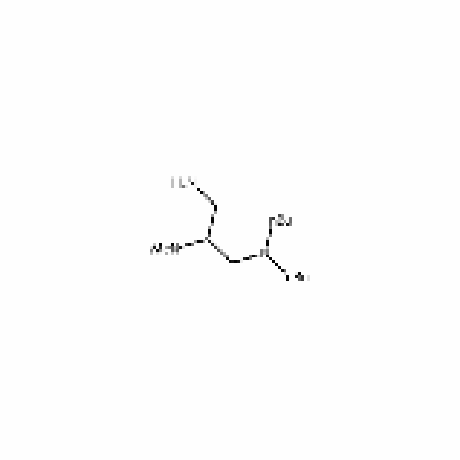 CCCCN(CCCC)CC(CN)NC